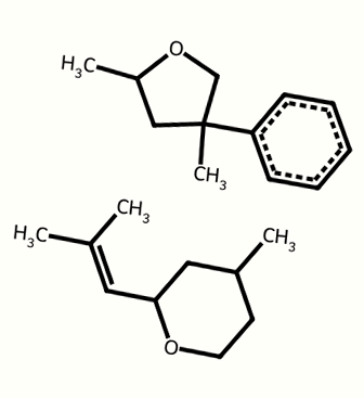 CC(C)=CC1CC(C)CCO1.CC1CC(C)(c2ccccc2)CO1